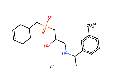 CC(NCC(O)CP(=O)([O-])CC1CC=CCC1)c1cccc(C(=O)O)c1.[Li+]